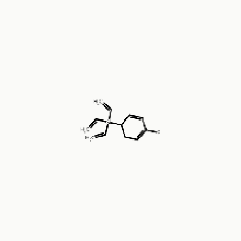 C=C[Si](C=C)(C=C)C1C=CC(F)=CC1